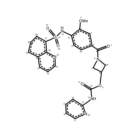 COc1cc(C(=O)N2CC(OC(=O)Nc3ccccn3)C2)ccc1NS(=O)(=O)c1cccc2cccnc12